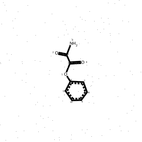 NC(=O)C(=O)Oc1ccccc1